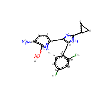 Nc1ccc(-c2nc(C3CC3)[nH]c2-c2ccc(F)cc2F)nc1O